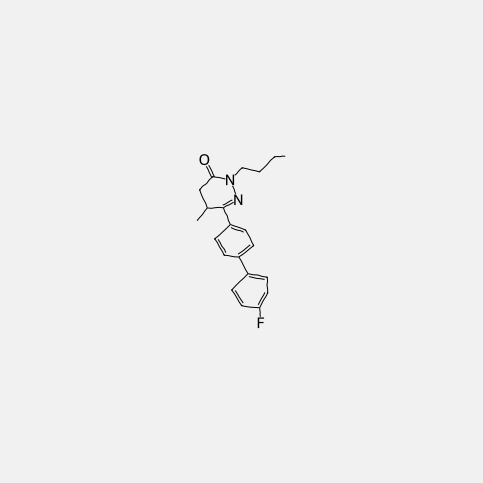 CCCCN1N=C(c2ccc(-c3ccc(F)cc3)cc2)C(C)CC1=O